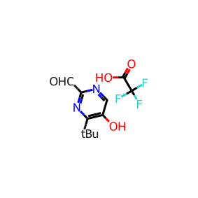 CC(C)(C)c1nc(C=O)ncc1O.O=C(O)C(F)(F)F